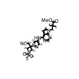 COC(=O)C(C)(C)Cn1ccc2c(Nc3cnn(C4(CC#N)CN(S(C)(=O)=O)C4)c3)ncnc21